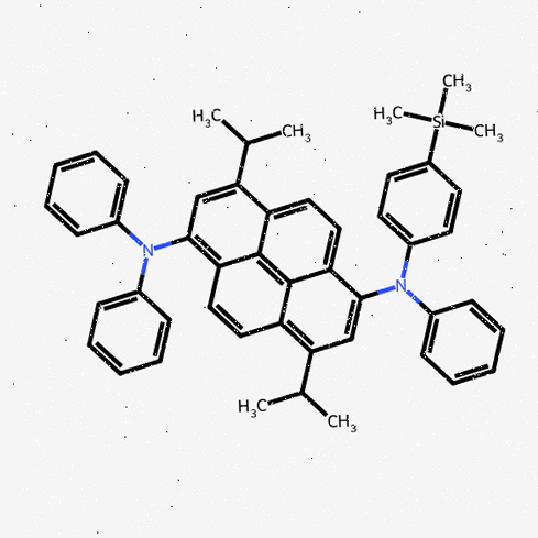 CC(C)c1cc(N(c2ccccc2)c2ccccc2)c2ccc3c(C(C)C)cc(N(c4ccccc4)c4ccc([Si](C)(C)C)cc4)c4ccc1c2c34